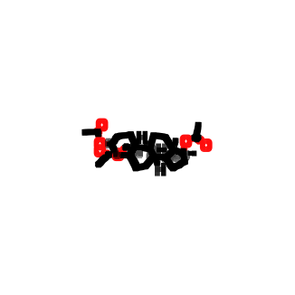 CC(=O)OC[C@]12CC[C@H](OC(C)=O)CC1=CC[C@@H]1[C@@H]2CC[C@@]2(C)[C@H]1CC[C@]2(C)OC(C)=O